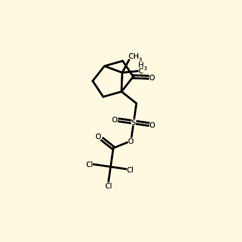 CC1(C)C2CCC1(CS(=O)(=O)OC(=O)C(Cl)(Cl)Cl)C(=O)C2